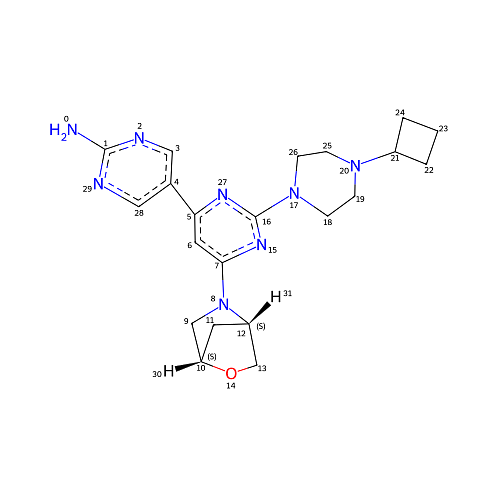 Nc1ncc(-c2cc(N3C[C@@H]4C[C@H]3CO4)nc(N3CCN(C4CCC4)CC3)n2)cn1